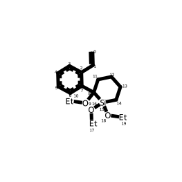 C=Cc1ccccc1C1(OCC)CCCC[Si]1(OCC)OCC